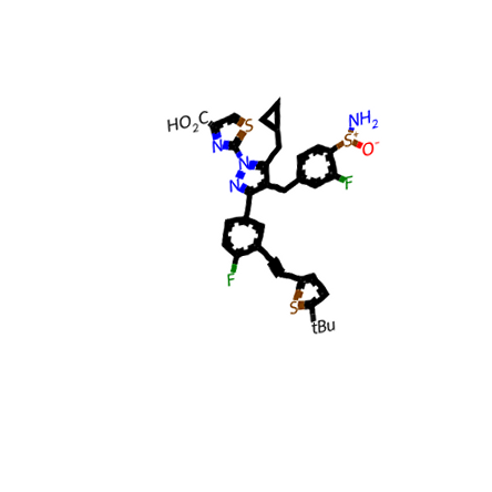 CC(C)(C)c1ccc(C#Cc2cc(-c3nn(-c4nc(C(=O)O)cs4)c(CC4CC4)c3Cc3ccc([S+](N)[O-])c(F)c3)ccc2F)s1